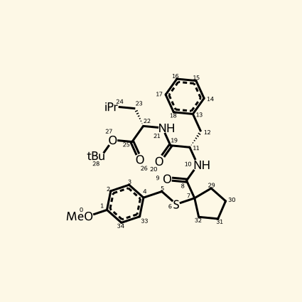 COc1ccc(CSC2(C(=O)N[C@@H](Cc3ccccc3)C(=O)N[C@@H](CC(C)C)C(=O)OC(C)(C)C)CCCC2)cc1